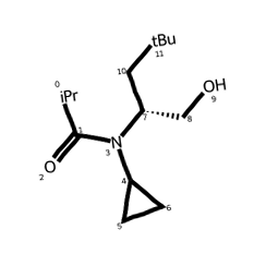 CC(C)C(=O)N(C1CC1)[C@@H](CO)CC(C)(C)C